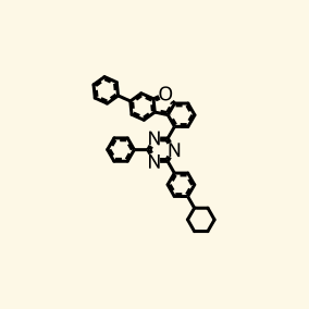 c1ccc(-c2ccc3c(c2)oc2cccc(-c4nc(-c5ccccc5)nc(-c5ccc(C6CCCCC6)cc5)n4)c23)cc1